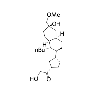 CCCC[C@H]1[C@H]([C@@H]2CC[C@H](C(=O)CO)C2)CC[C@@H]2C[C@@](O)(COC)CC[C@@H]21